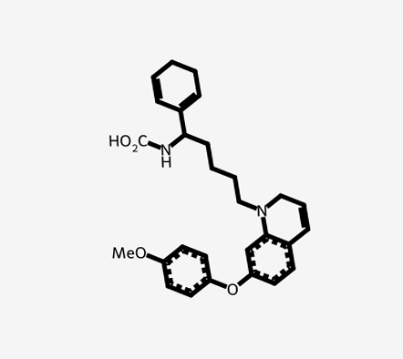 COc1ccc(Oc2ccc3c(c2)N(CCCCC(NC(=O)O)C2=CCCC=C2)CC=C3)cc1